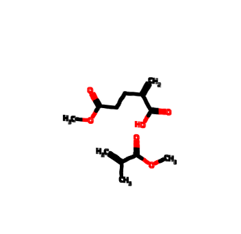 C=C(C)C(=O)OC.C=C(CCC(=O)OC)C(=O)O